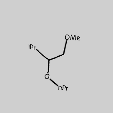 CCCOC(COC)C(C)C